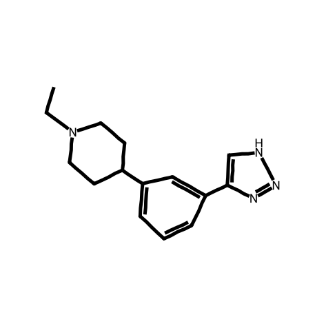 CCN1CCC(c2cccc(-c3c[nH]nn3)c2)CC1